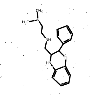 CN(C)CCNCC1Nc2ccccc2OC1c1ccccc1